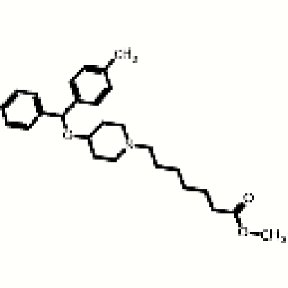 COC(=O)CCCCCCN1CCC(OC(c2ccccc2)c2ccc(C)cc2)CC1